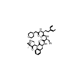 C=C/C(=C\C)CC[C@H](NC(=O)CN1CCOCC1)C(=O)N[C@@H](CC(C)C)C(=O)N[C@@H](Cc1ccccc1)C(=O)N[C@@H](CC(C)C)C(=O)[C@@]1(C)CO1